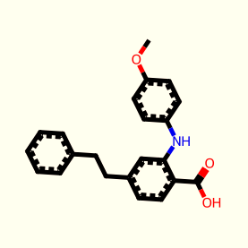 COc1ccc(Nc2cc(CCc3ccccc3)ccc2C(=O)O)cc1